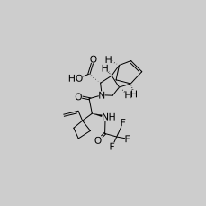 C=CC1([C@H](NC(=O)C(F)(F)F)C(=O)N2C[C@H]3[C@@H]([C@H]2C(=O)O)[C@H]2C=C[C@@H]3C2)CCC1